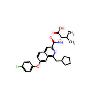 CC(C)[C@H](NC(=O)c1cc2ccc(Oc3ccc(F)cc3)cc2c(CC2CCCC2)n1)C(=O)O